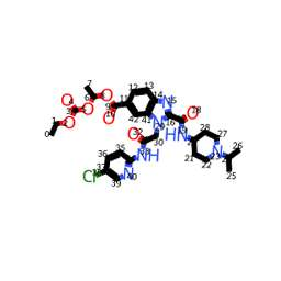 CCOC(=O)OC(C)OC(=O)c1ccc2nc(C(=O)NC3CCN(C(C)C)CC3)n(CC(=O)Nc3ccc(Cl)cn3)c2c1